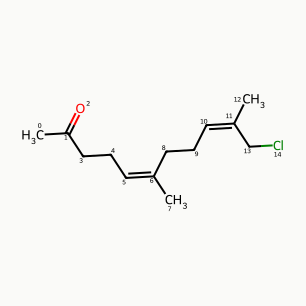 CC(=O)CCC=C(C)CCC=C(C)CCl